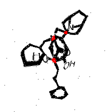 O=C([C@H](O)CCc1ccccc1)N(CCN1C2CCC1CC(c1cccc(O)c1)C2)CC1CCCCC1